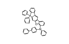 c1ccc(-c2ccc(N(c3ccccc3)c3cccc4c3oc3cc5c(cc34)-c3ccccc3C5(c3ccccc3)c3ccccc3)cc2)cc1